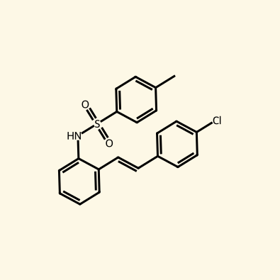 Cc1ccc(S(=O)(=O)Nc2ccccc2C=Cc2ccc(Cl)cc2)cc1